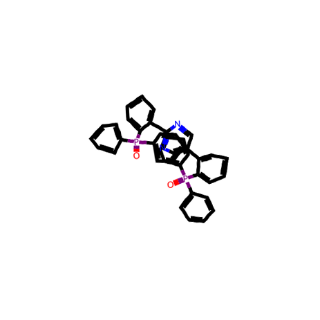 O=P(c1ccccc1)(c1ccccc1)c1ccccc1-c1cnc(-c2ccccc2P(=O)(c2ccccc2)c2ccccc2)nc1